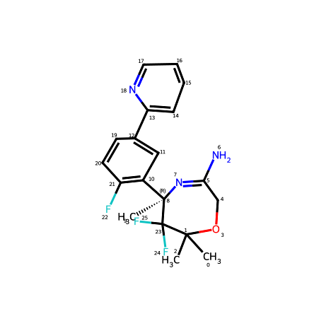 CC1(C)OCC(N)=N[C@](C)(c2cc(-c3ccccn3)ccc2F)C1(F)F